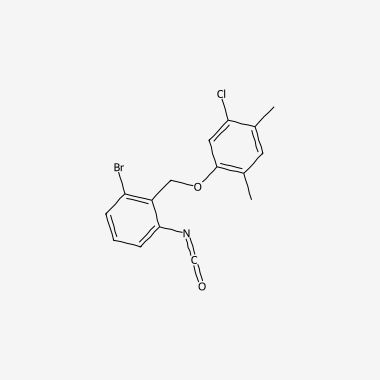 Cc1cc(C)c(OCc2c(Br)cccc2N=C=O)cc1Cl